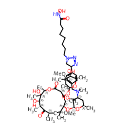 CC[C@H]1OC(=O)[C@H](C)[C@@H](O[C@H]2C[C@@](C)(OC)[C@@H](O)[C@H](C)O2)[C@H](C)[C@@H](O[C@@H]2O[C@H](C)C[C@H](N(C)Cc3ccc(C4CN(CCCCCCCC(=O)NO)N=N4)cc3)[C@H]2O)[C@](C)(OC)C[C@@H](C)C(=O)[C@H](C)[C@@H](O)[C@]1(C)O